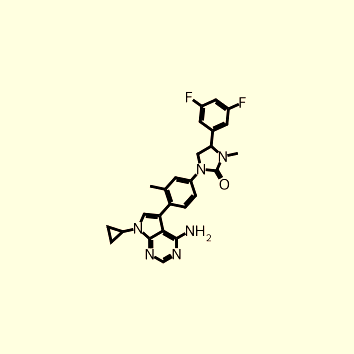 Cc1cc(N2CC(c3cc(F)cc(F)c3)N(C)C2=O)ccc1-c1cn(C2CC2)c2ncnc(N)c12